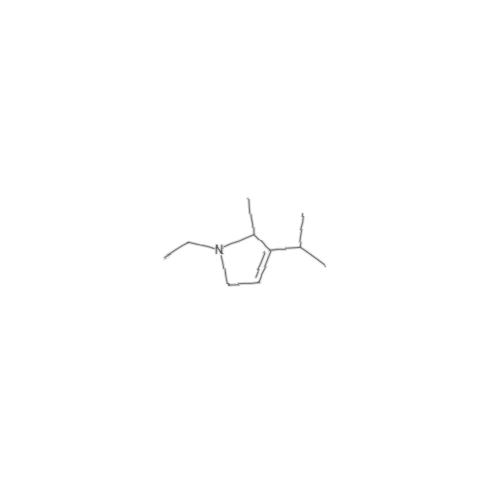 CCN1CC=C(C(C)C)C1C